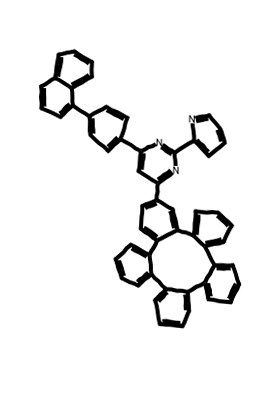 c1ccc(-c2nc(-c3ccc(-c4cccc5ccccc45)cc3)cc(-c3ccc4c5ccccc5c5ccccc5c5ccccc5c5ccccc5c4c3)n2)nc1